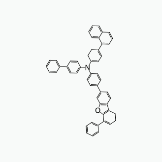 C1=C(c2ccccc2)c2oc3cc(-c4ccc(N(C5=CC=C(c6cccc7ccccc67)CC5)c5ccc(-c6ccccc6)cc5)cc4)ccc3c2CC1